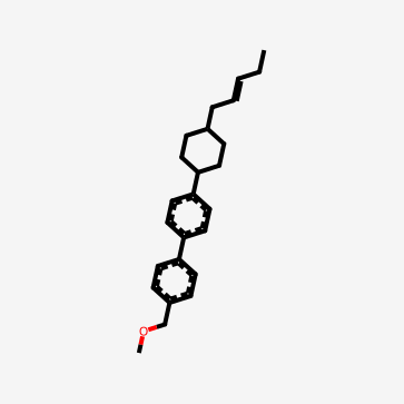 CC/C=C/CC1CCC(c2ccc(-c3ccc(COC)cc3)cc2)CC1